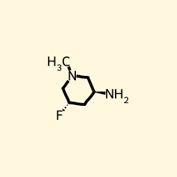 CN1C[C@@H](N)C[C@H](F)C1